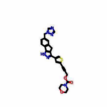 O=C(OCC#Cc1cc(-c2n[nH]c3c2Cc2cc(Cn4cncn4)ccc2-3)cs1)N1CCOCC1